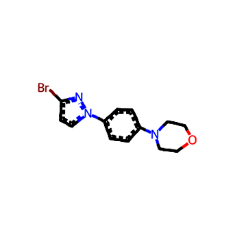 Brc1ccn(-c2ccc(N3CCOCC3)cc2)n1